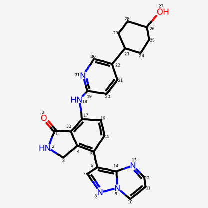 O=C1NCc2c(-c3cnn4cccnc34)ccc(Nc3ccc(C4CCC(O)CC4)cn3)c21